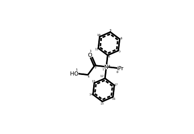 CC(C)[N+](C(=O)CO)(c1ccccc1)c1ccccc1